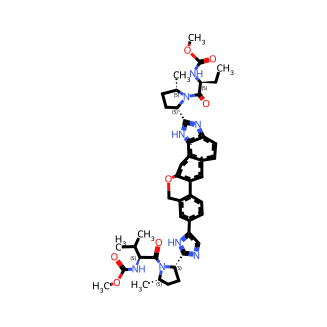 CC[C@H](NC(=O)OC)C(=O)N1[C@@H](C)CC[C@H]1c1nc2ccc3cc4c(cc3c2[nH]1)OCc1cc(-c2cnc([C@@H]3CC[C@H](C)N3C(=O)[C@@H](NC(=O)OC)C(C)C)[nH]2)ccc1-4